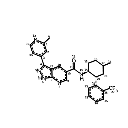 Cc1cc(-c2n[nH]c3ncc(C(=O)N[C@H]4CCC(C)C[C@@H]4c4ccccc4C(F)(F)F)cc23)ccn1